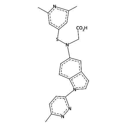 Cc1ccc(-n2ccc3cc(N(CC(=O)O)Sc4cc(C)nc(C)c4)ccc32)nn1